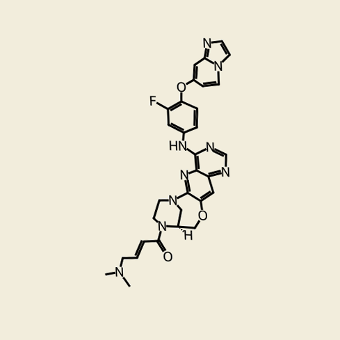 CN(C)C/C=C/C(=O)N1CCN2C[C@H]1COc1cc3ncnc(Nc4ccc(Oc5ccn6ccnc6c5)c(F)c4)c3nc12